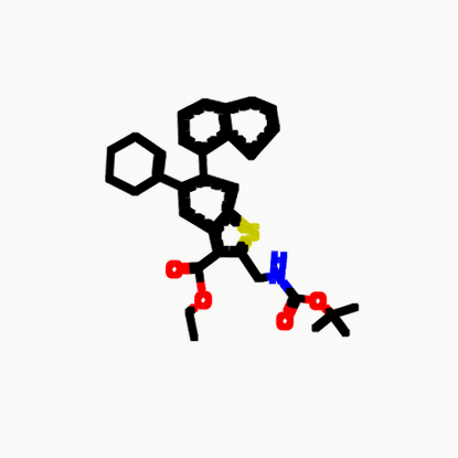 CCOC(=O)c1c(CNC(=O)OC(C)(C)C)sc2cc(-c3cccc4ccccc34)c(C3=CCCCC3)cc12